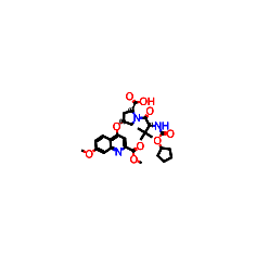 COC(=O)c1cc(O[C@@H]2C[C@@H](C(=O)O)N(C(=O)[C@@H](NC(=O)OC3CCCC3)C(C)(C)C)C2)c2ccc(OC)cc2n1